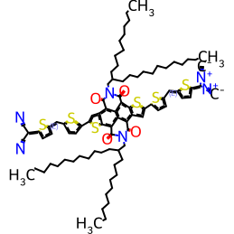 [C-]#[N+]C([N+]#[C-])=c1cc/c(=C\c2ccc(-c3cc4c5c6c(c7sc(-c8ccc(/C=c9\ccc(=C(C#N)C#N)s9)s8)cc7c7c6c(c4s3)C(=O)N(CC(CCCCCCCCCC)CCCCCCCCCCCC)C7=O)C(=O)N(CC(CCCCCCCCCC)CCCCCCCCCCCC)C5=O)s2)s1